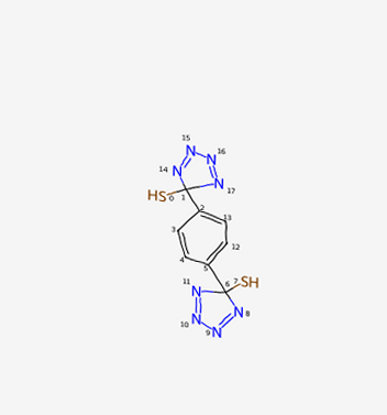 SC1(c2ccc(C3(S)N=NN=N3)cc2)N=NN=N1